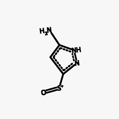 Nc1cc([S+]=O)n[nH]1